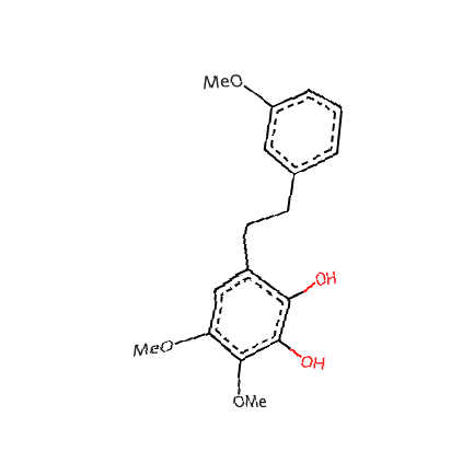 COc1cccc(CCc2cc(OC)c(OC)c(O)c2O)c1